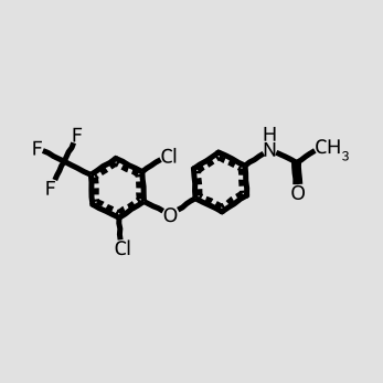 CC(=O)Nc1ccc(Oc2c(Cl)cc(C(F)(F)F)cc2Cl)cc1